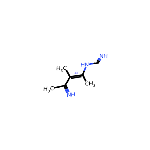 CC(=N)/C(C)=C(\C)NC=N